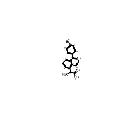 CC(C(=O)O)c1cccc2c(-c3ccc(Br)cc3)nccc12